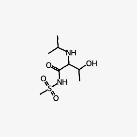 CC(C)NC(C(=O)NS(C)(=O)=O)C(C)O